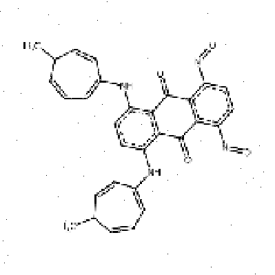 CC1C=CC=C(Nc2ccc(NC3=CC=CC(C)C=C3)c3c2C(=O)c2c(N=O)ccc(N=O)c2C3=O)C=C1